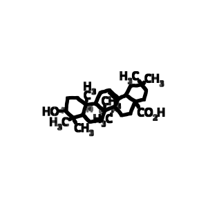 CC1(C)CCC2(C(=O)O)CC[C@]3(C)C(=CCC4[C@@]5(C)CC[C@H](O)C(C)(C)C5CC[C@]43C)C2C1